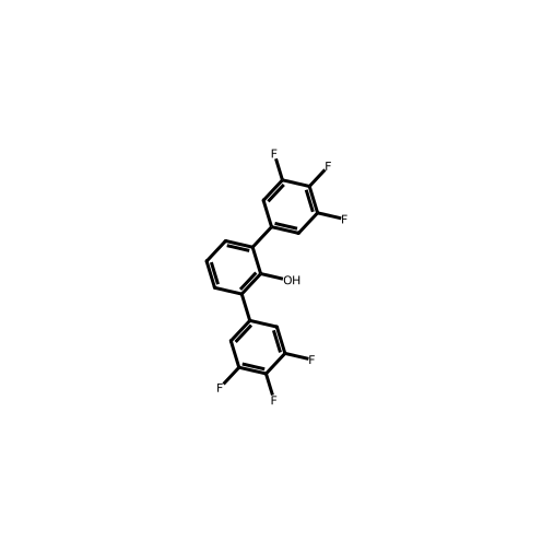 Oc1c(-c2cc(F)c(F)c(F)c2)cccc1-c1cc(F)c(F)c(F)c1